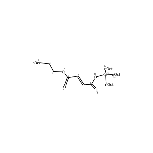 CCCCCCCCCCCCOC(=O)C=CC(=O)O[Si](CCCCCCCC)(CCCCCCCC)CCCCCCCC